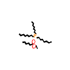 CCCCCC(=O)OCC.CCCCCCCCP(CCCCCCCC)CCCCCCCC